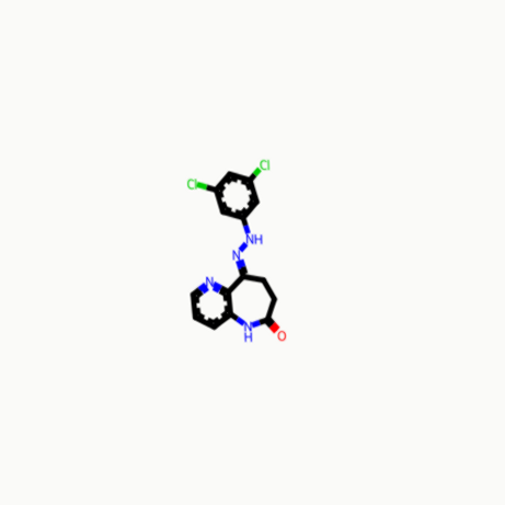 O=C1CCC(=NNc2cc(Cl)cc(Cl)c2)c2ncccc2N1